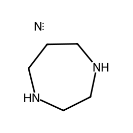 C1CNCCNC1.[N]